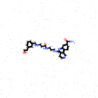 NC(=O)c1ccc2c(c1)nc(NCCCNC(=O)CCNCc1cccc(CCO)c1)c1ccncc12